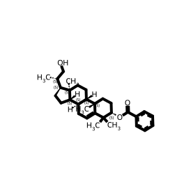 C[C@H](CO)[C@@H]1CC[C@H]2[C@@H]3CC=C4C(C)(C)[C@@H](OC(=O)c5ccccc5)CC[C@@]4(C)[C@H]3CC[C@@]21C